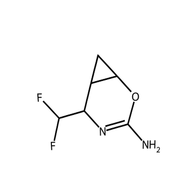 NC1=NC(C(F)F)C2CC2O1